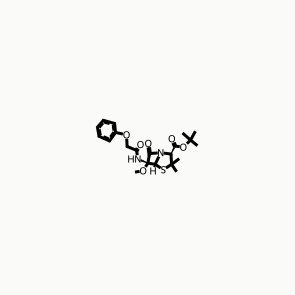 CO[C@]1(NC(=O)COc2ccccc2)C(=O)N2[C@@H](C(=O)OC(C)(C)C)C(C)(C)S[C@@H]21